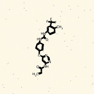 C=CC(=O)Nc1cc(Oc2ccc(NC(=O)Nc3ccc(C)c(C(F)(F)F)c3)cc2)ncn1